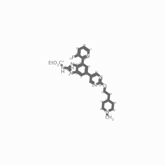 CCOC(=O)Nc1nc2cc(-c3cnc(OCCC4CCN(C)CC4)nc3)cc(-c3ncccc3F)c2[nH]1